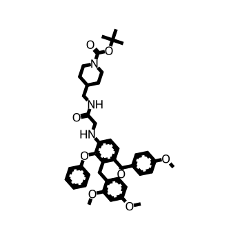 COc1ccc(C(=O)c2ccc(NCC(=O)NCC3CCN(C(=O)OC(C)(C)C)CC3)c(Oc3ccccc3)c2Cc2ccc(OC)cc2OC)cc1